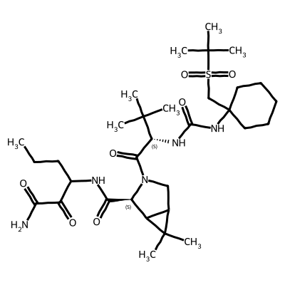 CCCC(NC(=O)[C@@H]1C2C(CN1C(=O)[C@@H](NC(=O)NC1(CS(=O)(=O)C(C)(C)C)CCCCC1)C(C)(C)C)C2(C)C)C(=O)C(N)=O